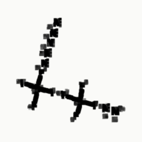 F[B-](F)(F)F.F[B-](F)(F)F.[N].[N].[N].[N].[N].[N].[Ni+2]